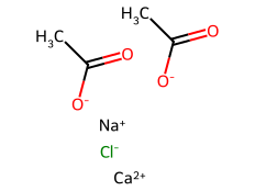 CC(=O)[O-].CC(=O)[O-].[Ca+2].[Cl-].[Na+]